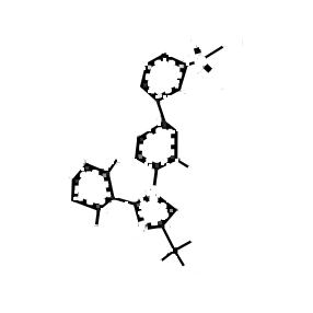 CC(C)(O)c1cn(-c2ccc(-c3cc[c]c(S(C)(=O)=O)c3)cc2Cl)c(-c2c(F)cccc2Cl)n1